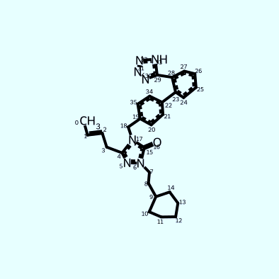 CC=CCc1nn(CCC2CCCCC2)c(=O)n1Cc1ccc(-c2ccccc2-c2nnn[nH]2)cc1